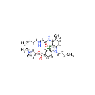 CCCCNCC(=O)Nc1c(C)cccc1Cl.CCCCNc1ccc(C(=O)OCCN(C)C)cc1